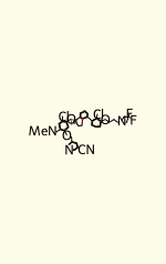 CNCc1cc(Cl)c(O[C@H]2CCc3c(-c4cccc(OCCCN5CC(F)(F)C5)c4Cl)cccc32)cc1OCc1cncc(C#N)c1